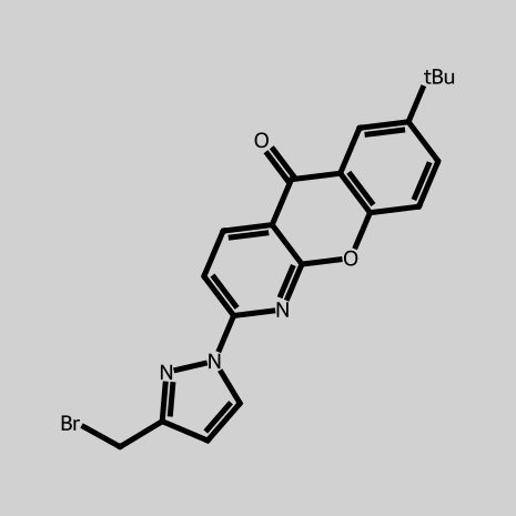 CC(C)(C)c1ccc2oc3nc(-n4ccc(CBr)n4)ccc3c(=O)c2c1